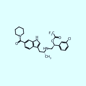 C[C@H](Cc1c[nH]c2cc(C(=O)N3CCCCC3)ccc12)NC[C@@H](OC(=O)C(F)(F)F)c1cccc(Cl)c1